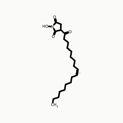 CCCCCCCC/C=C\CCCCCCCC(=O)C1CC(=O)N(O)C1=O